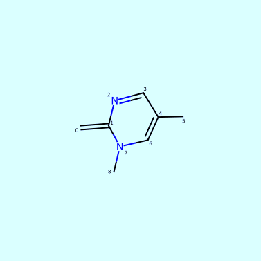 C=C1N=CC(C)=CN1C